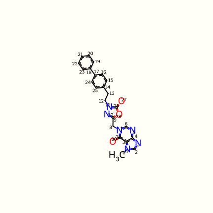 Cn1cnc2ncn(Cc3nn(CCc4ccc(-c5ccccc5)cc4)c(=O)o3)c(=O)c21